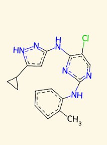 Cc1ccccc1Nc1ncc(Cl)c(Nc2cc(C3CC3)[nH]n2)n1